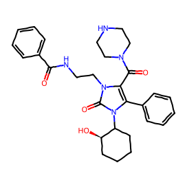 O=C(NCCn1c(C(=O)N2CCNCC2)c(-c2ccccc2)n(C2CCCC[C@H]2O)c1=O)c1ccccc1